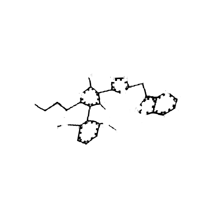 CCCCc1nc(O)c(-c2nnc(Cc3noc4cccnc34)o2)c(O)c1-c1c(OC)cccc1OC